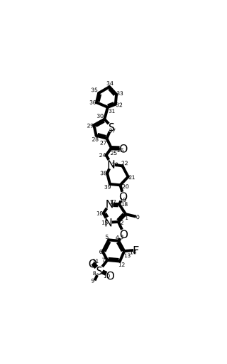 Cc1c(Oc2ccc(S(C)(=O)=O)cc2F)ncnc1OC1CCN(CC(=O)c2ccc(-c3ccccc3)s2)CC1